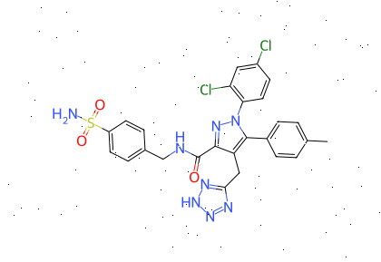 Cc1ccc(-c2c(Cc3nn[nH]n3)c(C(=O)NCc3ccc(S(N)(=O)=O)cc3)nn2-c2ccc(Cl)cc2Cl)cc1